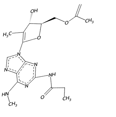 CCC(=O)Nc1nc(NC)c2ncn(C3=C(C)[C@H](O)[C@@H](COC(C)=O)O3)c2n1